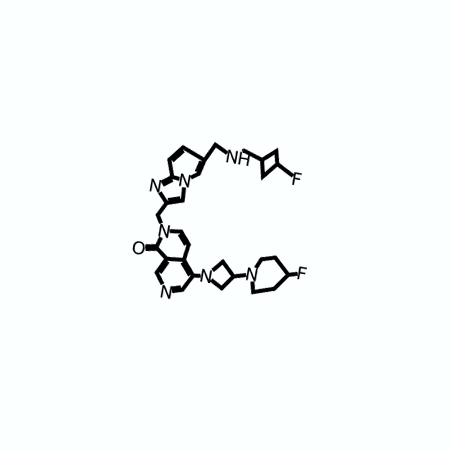 O=c1c2cncc(N3CC(N4CCC(F)CC4)C3)c2ccn1Cc1cn2cc(CNCC3CC(F)C3)ccc2n1